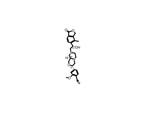 COc1cc([C@H]2CN3CCN(C[C@@H](O)c4ccc5c(c4C)COC5=O)C[C@@H]3CO2)ccc1C#N